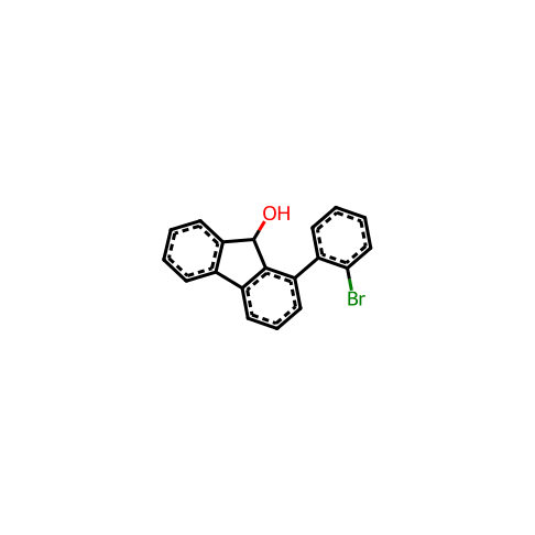 OC1c2ccccc2-c2cccc(-c3ccccc3Br)c21